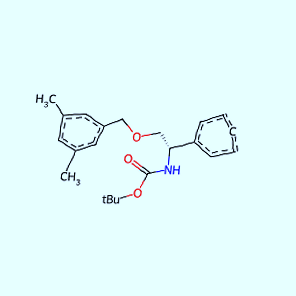 Cc1cc(C)cc(COC[C@@H](NC(=O)OC(C)(C)C)c2ccccc2)c1